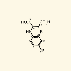 CC(C)c1ccc(NC(=CC(=O)O)C(=O)O)c(Br)c1